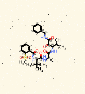 CC(C)[C@H](NC(=O)[C@H](C)NC(=O)[C@@H](NC(=O)c1ccccc1S(C)(=O)=O)C(C)(C)C)C(=O)C(=O)NCc1ccccc1